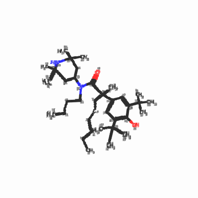 CCCCCCC(C)(C(=O)N(CCCC)C1CC(C)(C)NC(C)(C)C1)c1cc(C(C)(C)C)c(O)c(C(C)(C)C)c1